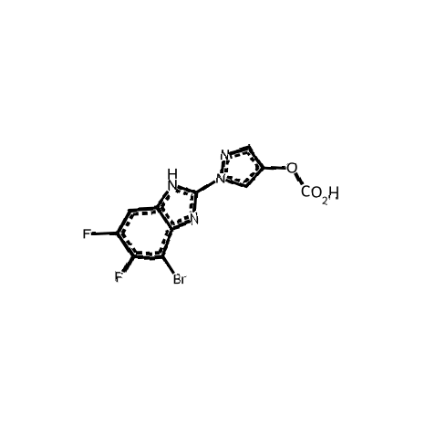 O=C(O)Oc1cnn(-c2nc3c(Br)c(F)c(F)cc3[nH]2)c1